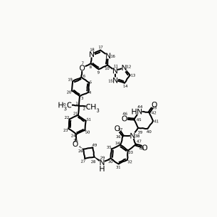 CC(C)(c1ccc(Oc2cc(-n3nccn3)ncn2)cc1)c1ccc(O[C@H]2C[C@H](Nc3ccc4c(c3)C(=O)N(C3CCC(=O)NC3=O)C4=O)C2)cc1